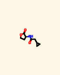 O=C(CC1CC1)N[C@H]1CCOC1=O